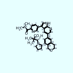 CN(C)C(=O)c1ccc(-c2c[nH]c3ncc(-c4cc5c(c([C@@H]6CCCN6CC(C)(C)C(=O)O)c4)COCC5)cc23)cn1